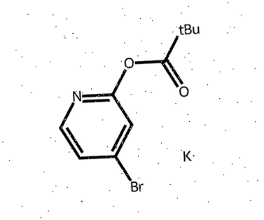 CC(C)(C)C(=O)Oc1cc(Br)ccn1.[K]